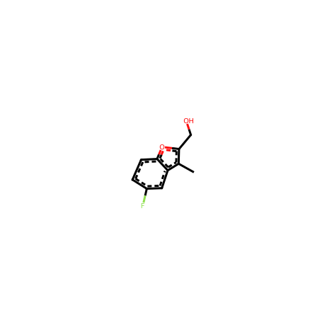 Cc1c(CO)oc2ccc(F)cc12